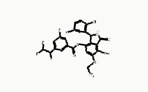 O=C(Nc1cc(NCC(F)(F)F)c(O)c2c1C(c1cc(F)ccc1Cl)NC2=O)c1cc(F)cc(C(F)C(F)F)c1